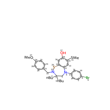 CCCCC1(CCCC)CN(c2ccc(Br)cc2)c2cc(SC)c(O)cc2SN1Cc1ccc(OC)cc1